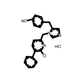 Cl.N#Cc1ccc(Cc2cncn2Cc2ccc(-c3ccccc3)c(Cl)n2)cc1